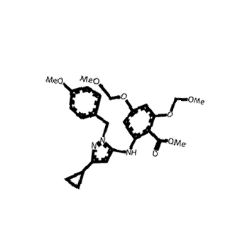 COCOc1cc(Nc2cc(C3CC3)nn2Cc2ccc(OC)cc2)c(C(=O)OC)c(OCOC)c1